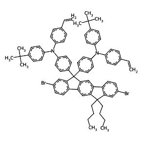 C=Cc1ccc(N(c2ccc(C(C)(C)C)cc2)c2ccc(C3(c4ccc(N(c5ccc(C=C)cc5)c5ccc(C(C)(C)C)cc5)cc4)c4cc(Br)ccc4-c4cc5c(cc43)-c3ccc(Br)cc3C5(CCCC)CCCC)cc2)cc1